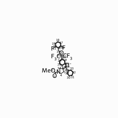 COC(=O)N1CCC(c2ccc(C(OCc3c(F)cccc3F)(C(F)(F)F)C(F)(F)F)cc2)([S+]([O-])c2ccccc2)C1